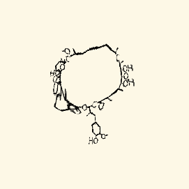 CO[C@H]1[C@@H](O)[C@H](C)C[C@H](C)/C=C/C=C/C=C(\C)[C@@H](OC)C[C@@H]2CC[C@@H](C)[C@@](O)(O2)C(=O)C(=O)N2CCCC[C@H]2C(=O)O[C@H]([C@H](C)C[C@@H]2CC[C@@H](O)[C@H](OC)C2)CC(=O)[C@H](C)/C=C(\C)[C@H]1O